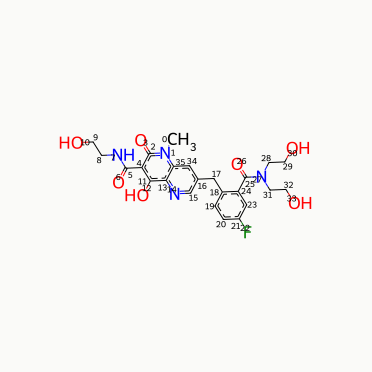 Cn1c(=O)c(C(=O)NCCO)c(O)c2ncc(Cc3ccc(F)cc3C(=O)N(CCO)CCO)cc21